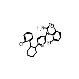 CCc1cccc(CC)c1N(C(N)=O)c1ccc(C2CCCCC2c2ccccc2Cl)nc1